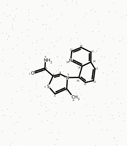 CC1=CSC(C(N)=O)=CN1c1cccc2cccnc12